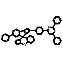 c1ccc(-c2ccc3c(c2)C2(c4ccccc4Oc4ccccc42)c2cc(-c4ccc(-c5cc(-c6ccccc6)nc(-c6ccccc6)n5)cc4)ccc2-3)cc1